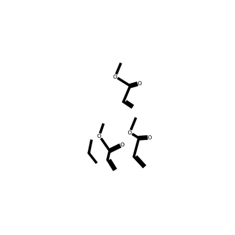 C=CC(=O)OC.C=CC(=O)OC.C=CC(=O)OC.CCC